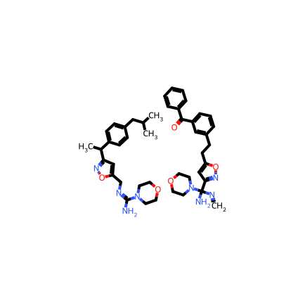 C=NC(N)(c1cc(CCc2cccc(C(=O)c3ccccc3)c2)on1)N1CCOCC1.CC(C)Cc1ccc(C(C)c2cc(CN=C(N)N3CCOCC3)on2)cc1